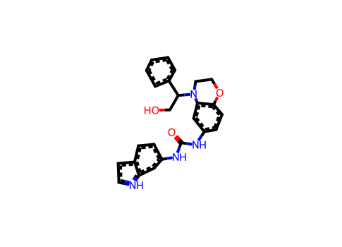 O=C(Nc1ccc2c(c1)N(C(CO)c1ccccc1)CCO2)Nc1ccc2cc[nH]c2c1